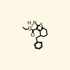 CCOC(=O)c1c(N)sc2c1C(Cc1ccccc1)CCC2